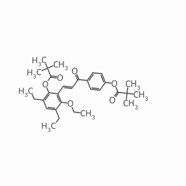 CCOc1c(CC)cc(CC)c(OC(=O)C(C)(C)C)c1C=CC(=O)c1ccc(OC(=O)C(C)(C)C)cc1